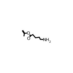 C=C(C)OC(=O)CCCCN